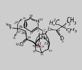 CC(C)(C)C(=O)OC1C2C3CC(CC1N3Cc1ccccn1)CN2C(=O)CC(F)(F)F